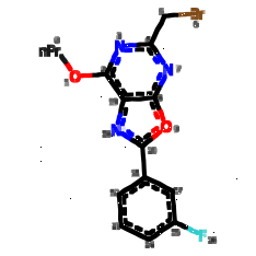 CCCOc1nc(CBr)nc2oc(-c3cccc(F)c3)nc12